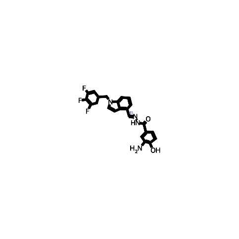 Nc1cc(C(=O)N/N=C/c2cccc3c2ccn3CC2C=C(F)C(F)=C(F)C2)ccc1O